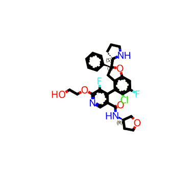 O=C(N[C@@H]1CCOC1)c1cnc(OCCO)c(F)c1-c1c(Cl)c(F)cc2c1C[C@](c1ccccc1)([C@@H]1CCCN1)O2